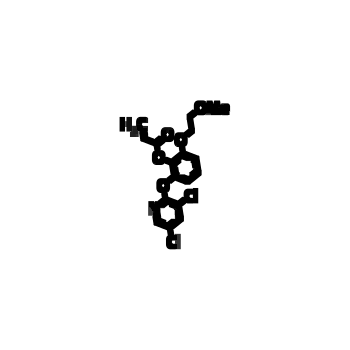 C=CC(=O)Oc1c(OCCOC)cccc1Oc1ncc(Cl)cc1Cl